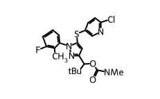 CNC(=O)OC(c1cc(Sc2ccc(Cl)nc2)n(-c2cccc(F)c2C)n1)C(C)(C)C